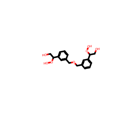 OCC(OO)c1cccc(COCc2cccc(C(CO)OO)c2)c1